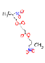 CC(CCOC(=O)CCC(=O)OCCC(C)C[N+](=O)[O-])C[N+](=O)[O-]